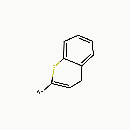 CC(=O)C1=CCc2ccccc2S1